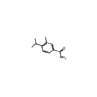 Cc1cc(C(N)=O)ccc1N(C)C